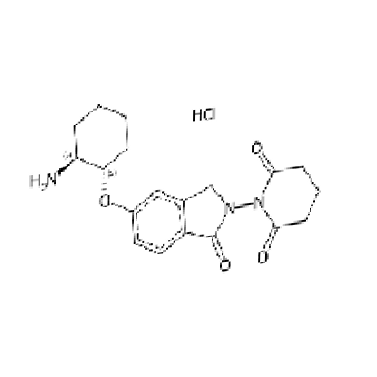 Cl.N[C@H]1CCCC[C@@H]1Oc1ccc2c(c1)CN(N1C(=O)CCCC1=O)C2=O